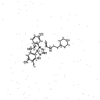 CC[C@H]1N[C@@H](C(=O)NCCN2CCOCC2)[C@H](c2cccc(Cl)c2)[C@@]12C(=O)Nc1cc(Cl)c(F)cc12